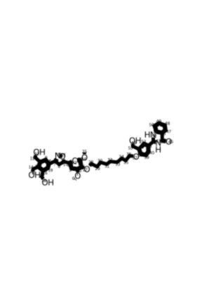 COc1cc(C2CC(c3cc(CO)c(CO)c(CO)c3)=NO2)cc(OC)c1OCCCCCCCCCOc1ccc(C2NC(=O)c3ccccc3N2)cc1CO